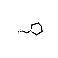 FC(F)(F)[CH]N1CCCCC1